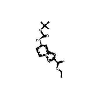 CCOC(=O)c1nc2cc(NC(=O)OC(C)(C)C)ccn2n1